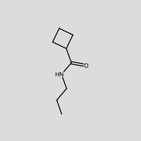 CCCNC(=O)C1C[CH]C1